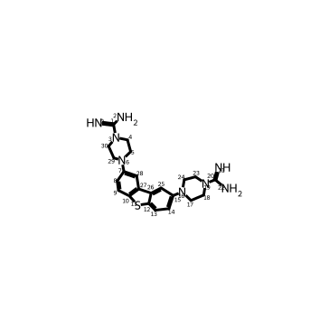 N=C(N)N1CCN(c2ccc3sc4ccc(N5CCN(C(=N)N)CC5)cc4c3c2)CC1